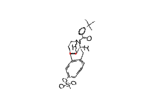 CC(C)(C)OC(=O)N1CC[C@]23CCCC[C@H]2[C@H]1Cc1ccc(OS(C)(=O)=O)cc13